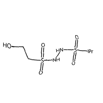 CC(C)S(=O)(=O)NNS(=O)(=O)CCO